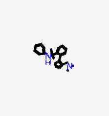 CN(C)CC1=C(c2ccccc2C(C)(C)Nc2ccccc2)CC=C1